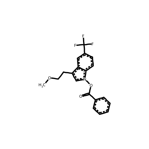 COCCc1cn(OC(=O)c2ccccc2)c2ccc(C(F)(F)F)cc12